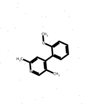 COc1ccccc1-c1cc(C)ncc1C